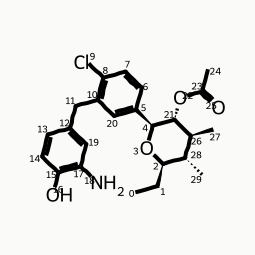 CC[C@H]1O[C@@H](c2ccc(Cl)c(Cc3ccc(O)c(N)c3)c2)[C@H](OC(C)=O)[C@@H](C)[C@@H]1C